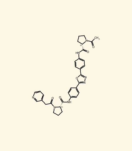 CC(=O)N1CCC[C@H]1C(=O)Nc1ccc(-c2nnc(-c3ccc(NC(=O)[C@@H]4CCCN4C(=O)Cc4cccnc4)cc3)o2)cc1